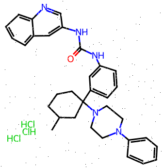 CC1CCCC(c2cccc(NC(=O)Nc3cnc4ccccc4c3)c2)(N2CCN(c3ccccc3)CC2)C1.Cl.Cl.Cl